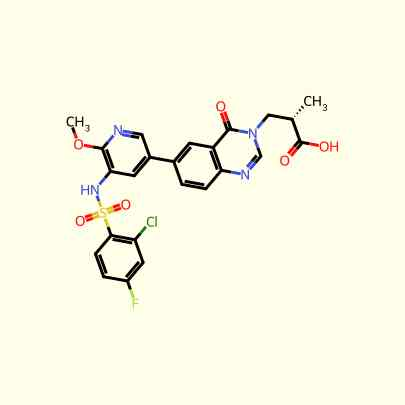 COc1ncc(-c2ccc3ncn(C[C@H](C)C(=O)O)c(=O)c3c2)cc1NS(=O)(=O)c1ccc(F)cc1Cl